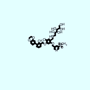 Cc1c(COc2cc(OCc3cncc(S(C)(=O)=O)c3)c(CNC[C@H](O)[C@@H](O)[C@H](O)[C@H](O)CO)cc2Cl)cccc1-c1ccc2c(c1)OCCO2